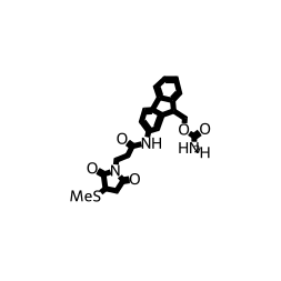 [2H]NC(=O)OCC1c2ccccc2-c2ccc(NC(=O)CCN3C(=O)CC(SC)C3=O)cc21